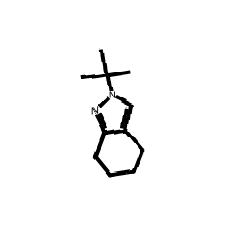 CC(C)(C)n1cc2c(n1)CCCC2